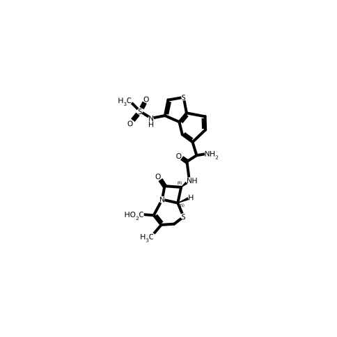 CC1=C(C(=O)O)N2C(=O)[C@@H](NC(=O)C(N)c3ccc4scc(NS(C)(=O)=O)c4c3)[C@@H]2SC1